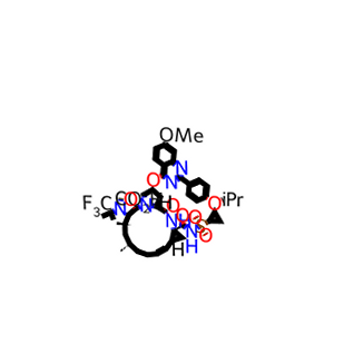 COc1ccc2c(O[C@@H]3C[C@H]4C(=O)N[C@]5(C(=O)NS(=O)(=O)C6CC6)C[C@H]5/C=C\CC[C@H](C)C[C@@H](C)[C@H](N(C(=O)O)C(C)(C)C(F)(F)F)C(=O)N4C3)nc(-c3ccc(OC(C)C)cc3)nc2c1